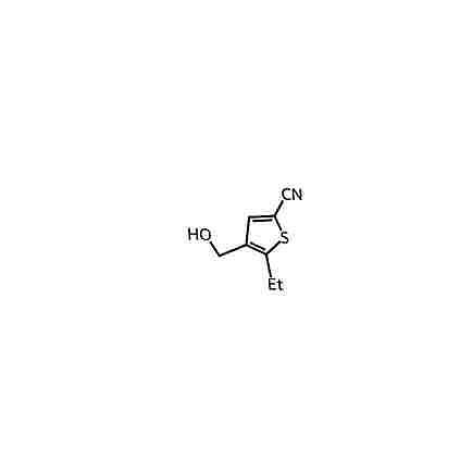 CCc1sc(C#N)cc1CO